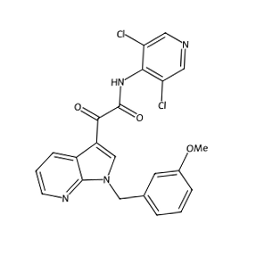 COc1cccc(Cn2cc(C(=O)C(=O)Nc3c(Cl)cncc3Cl)c3cccnc32)c1